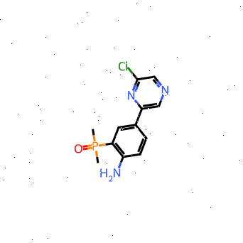 CP(C)(=O)c1cc(-c2cncc(Cl)n2)ccc1N